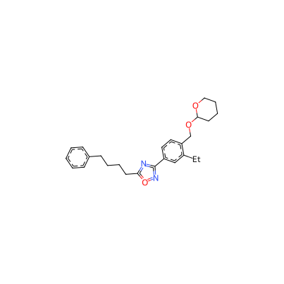 CCc1cc(-c2noc(CCCCc3ccccc3)n2)ccc1COC1CCCCO1